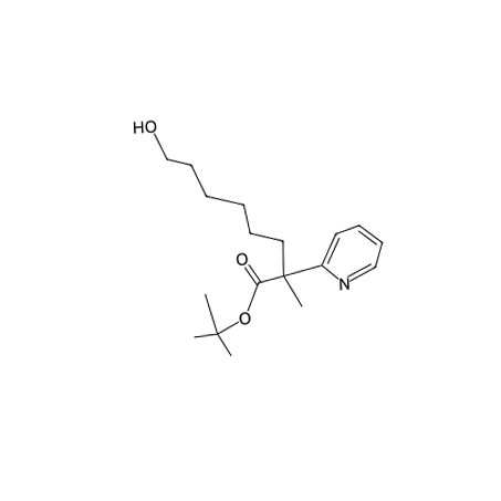 CC(C)(C)OC(=O)C(C)(CCCCCCO)c1ccccn1